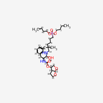 CCCCOP(=O)(CCCCC(C)(C)CNC(O)C(Cc1ccccc1)NC(=O)OC1COC2OCCC12)OCCCC